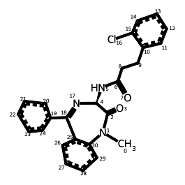 CN1C(=O)[C@H](NC(=O)CCc2ccccc2Cl)N=C(c2ccccc2)c2ccccc21